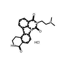 CN(C)CCn1c(=O)c2cccc3c4c5c(ccc4n(c1=O)c23)C(=O)NCC5.Cl